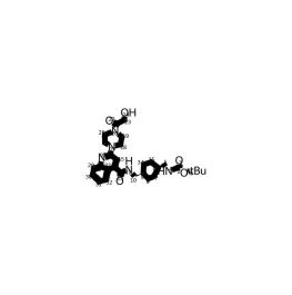 CC(C)(C)OC(=O)NC[C@H]1CC[C@H](CNC(=O)c2cc(N3CCN(C(=O)CO)CC3)nc3ccccc23)CC1